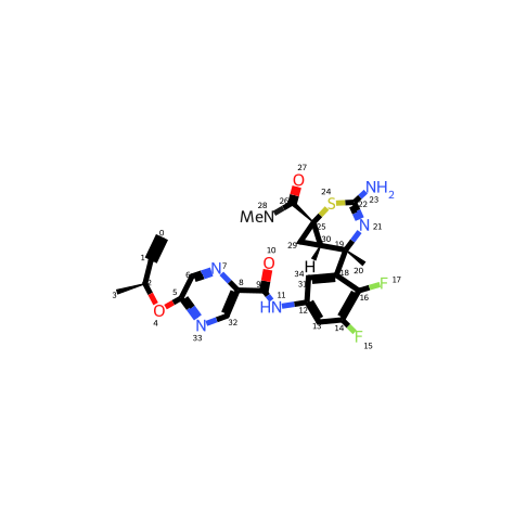 C#C[C@H](C)Oc1cnc(C(=O)Nc2cc(F)c(F)c([C@@]3(C)N=C(N)S[C@@]4(C(=O)NC)C[C@H]43)c2)cn1